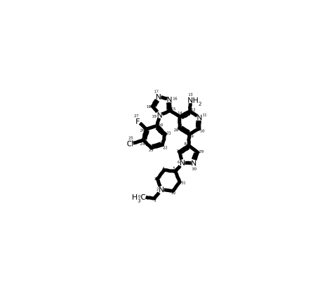 CCN1CCC(n2cc(-c3cnc(N)c(-c4nncn4-c4cccc(Cl)c4F)c3)cn2)CC1